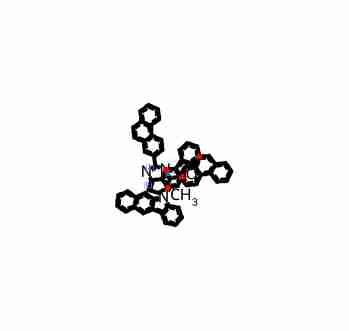 CC1C/C=C(c2cc3c(cc2-n2c4ccccc4c4cc5ccccc5cc42)oc2ccccc23)/N=C(c2ccc3c(ccc4ccccc43)c2)\N=C/1c1ccc2c(ccc3ccccc32)c1